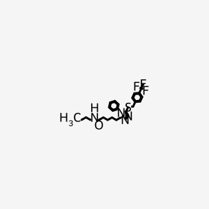 CCCCNC(=O)CCCCc1nnc(SCc2ccc(C(F)(F)F)cc2)n1-c1ccccc1